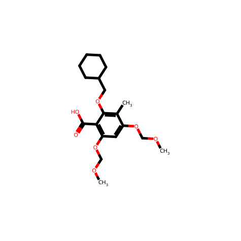 COCOc1cc(OCOC)c(C(=O)O)c(OCC2CCCCC2)c1C